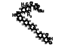 Cc1cc(-c2n[nH]c3ncc(-c4ccc(N5CCN(CCc6ccc([C@@H]7CCC(=O)NC7=O)cc6)CC5)cc4)cc23)ccc1C(C)NC(=O)c1noc(C(C)(C)C)n1